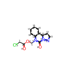 O=C(CCl)OCn1c(=O)n2nccc2c2ccccc21